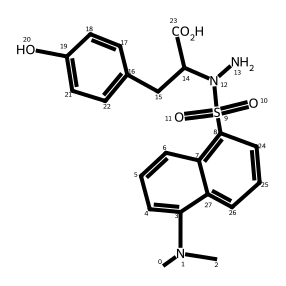 CN(C)c1cccc2c(S(=O)(=O)N(N)C(Cc3ccc(O)cc3)C(=O)O)cccc12